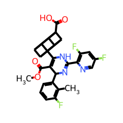 COC(=O)C1=C(C23C4C5C2C2C3C4C52C(=O)O)NC(c2ncc(F)cc2F)=NC1c1cccc(F)c1C